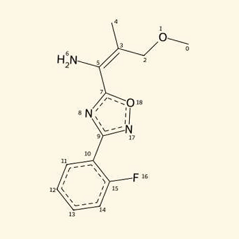 COC/C(C)=C(/N)c1nc(-c2ccccc2F)no1